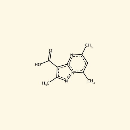 Cc1cc(C)n2nc(C)c(C(=O)O)c2n1